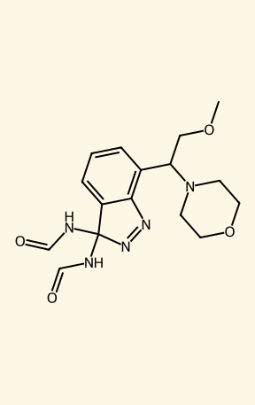 COCC(c1cccc2c1N=NC2(NC=O)NC=O)N1CCOCC1